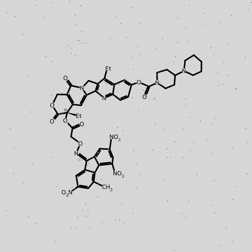 CCc1c2c(nc3ccc(OC(=O)N4CCC(N5CCCCC5)CC4)cc13)-c1cc3c(c(=O)n1C2)COC(=O)[C@@]3(CC)OC(=O)CO/N=C1/c2cc([N+](=O)[O-])cc(C)c2-c2c1cc([N+](=O)[O-])cc2[N+](=O)[O-]